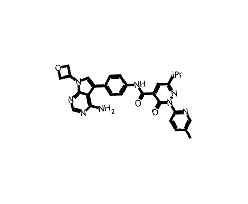 Cc1ccc(-n2nc(C(C)C)cc(C(=O)Nc3ccc(-c4cn(C5COC5)c5ncnc(N)c45)cc3)c2=O)nc1